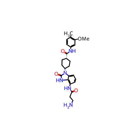 COc1cc(NC(=O)[C@H]2CC[C@@H](n3c(=O)[nH]c4c(NC(=O)CCN)cccc43)CC2)ccc1C